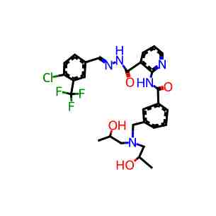 CC(O)CN(Cc1cccc(C(=O)Nc2ncccc2C(=O)NN=Cc2ccc(Cl)c(C(F)(F)F)c2)c1)CC(C)O